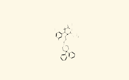 CC1NC(C)C(CCCN2CCC(c3ccccc3)(c3ccccc3)CC2)(C(=O)O)C(c2cccc(F)c2)C1(C)C(=O)O